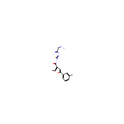 CCN(CC)Cc1nsc(NC(=O)c2cc(-c3cccc(C(F)(F)F)c3)oc2C)n1